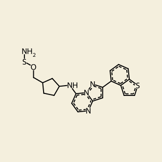 NSOCC1CCC(Nc2ccnc3cc(-c4cccc5sccc45)nn23)C1